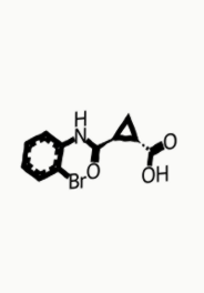 O=C(O)[C@H]1C[C@@H]1C(=O)Nc1ccccc1Br